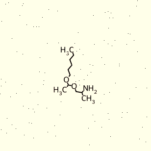 CCCCCCOC(C)OCC(C)N